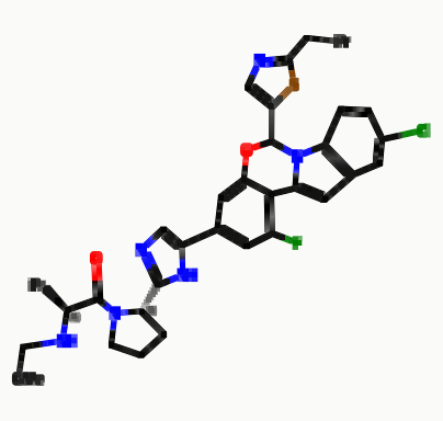 COCN[C@H](C(=O)N1CCC[C@H]1c1ncc(-c2cc(F)c3c(c2)OC(c2cnc(CC(C)C)s2)n2c-3cc3cc(Cl)ccc32)[nH]1)C(C)C